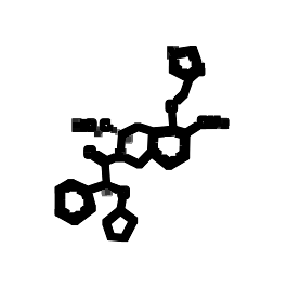 CCOC(=O)[C@@H]1Cc2c(ccc(OC)c2OCc2cncs2)CN1C(=O)[C@@H](OC1CCCC1)c1ccccc1